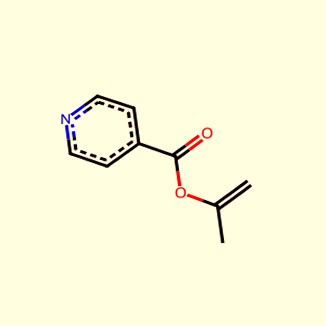 C=C(C)OC(=O)c1ccncc1